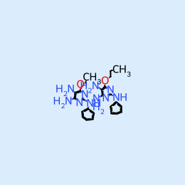 CCCOc1nc(Nc2ccccc2)nc(N)c1N.CCOc1nc(Nc2ccccc2)nc(N)c1N